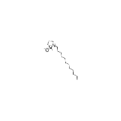 CCCCCCCCCCCCN1CCC[Si]1(C)OC